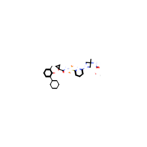 Cc1cccc(C2CCCCC2)c1OC1(C(=O)NS(=O)(=O)c2cccc(N3CC(C)(NC(=O)OC(C)(C)C)C3)n2)CC1